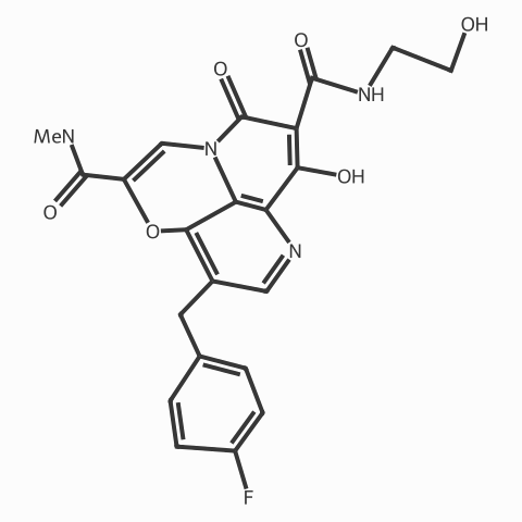 CNC(=O)C1=Cn2c(=O)c(C(=O)NCCO)c(O)c3ncc(Cc4ccc(F)cc4)c(c32)O1